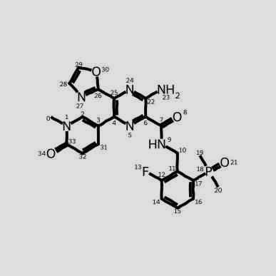 Cn1cc(-c2nc(C(=O)NCc3c(F)cccc3P(C)(C)=O)c(N)nc2-c2ncco2)ccc1=O